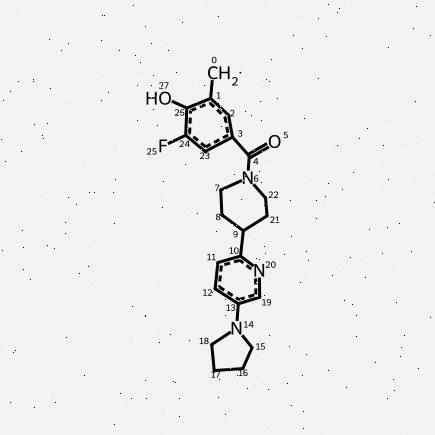 [CH2]c1cc(C(=O)N2CCC(c3ccc(N4CCCC4)cn3)CC2)cc(F)c1O